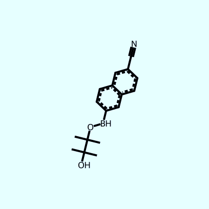 CC(C)(O)C(C)(C)OBc1ccc2cc(C#N)ccc2c1